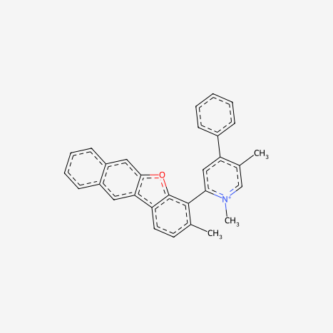 Cc1c[n+](C)c(-c2c(C)ccc3c2oc2cc4ccccc4cc23)cc1-c1ccccc1